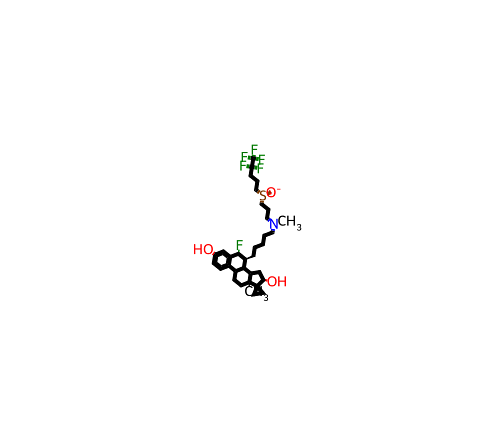 CN(CCCCC[C@H]1C2C(CC[C@@]3(C)C2C[C@@H](O)C32CC2)c2ccc(O)cc2[C@@H]1F)CCC[S+]([O-])CCCC(F)(F)C(F)(F)F